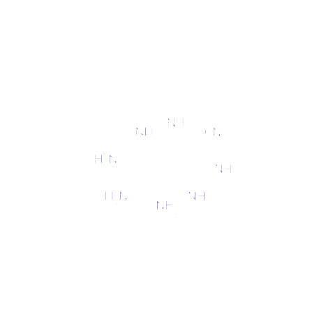 N#Cc1c(N)c(N)c2c(N)c(N)c(N)c(N)c2c1N